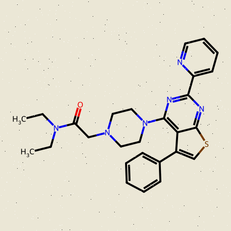 CCN(CC)C(=O)CN1CCN(c2nc(-c3ccccn3)nc3scc(-c4ccccc4)c23)CC1